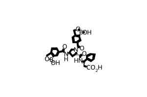 O=C(O)C[C@@H](NC(=O)[C@@H]1C[C@@H](NC(=O)c2ccc3c(c2)B(O)OC3)CN1C(=O)c1ccc2c(c1)B(O)OC2)c1ccccc1